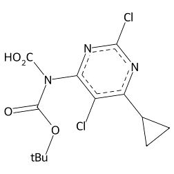 CC(C)(C)OC(=O)N(C(=O)O)c1nc(Cl)nc(C2CC2)c1Cl